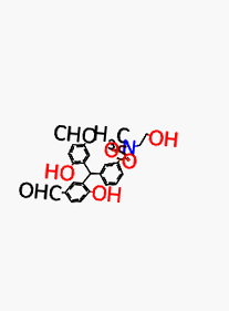 CN(CCO)S(=O)(=O)c1cccc(C(c2cc(C=O)ccc2O)c2cc(C=O)ccc2O)c1